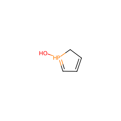 O[PH]1=CC=CC1